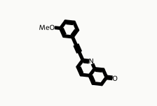 COc1cccc(C#Cc2ccc3c(n2)=CC(=O)CC=3)c1